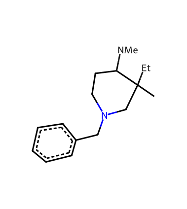 CCC1(C)CN(Cc2ccccc2)CCC1NC